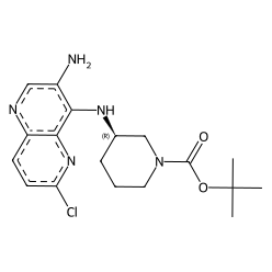 CC(C)(C)OC(=O)N1CCC[C@@H](Nc2c(N)cnc3ccc(Cl)nc23)C1